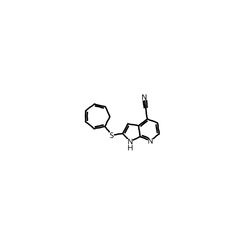 N#Cc1ccnc2[nH]c(SC3=CC=CC=CC3)cc12